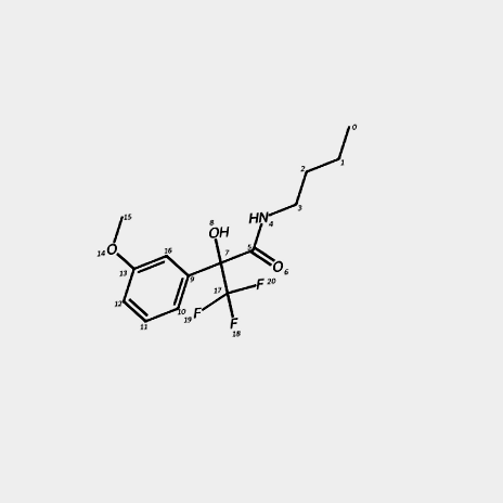 CCCCNC(=O)C(O)(c1cccc(OC)c1)C(F)(F)F